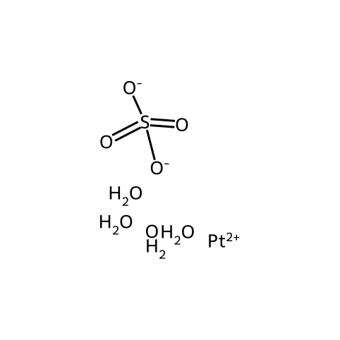 O.O.O.O.O=S(=O)([O-])[O-].[Pt+2]